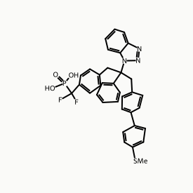 CSc1ccc(-c2ccc(CC(Cc3ccc(C(F)(F)P(=O)(O)O)cc3)(c3ccccc3)n3nnc4ccccc43)cc2)cc1